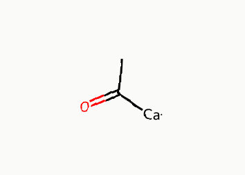 C[C](=O)[Ca]